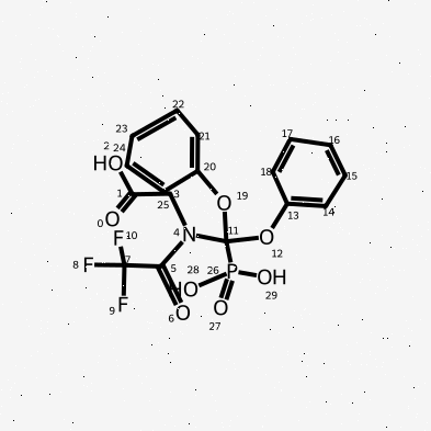 O=C(O)CN(C(=O)C(F)(F)F)C(Oc1ccccc1)(Oc1ccccc1)P(=O)(O)O